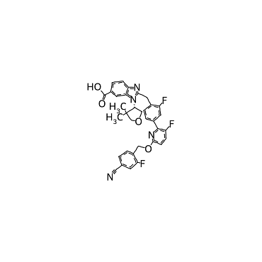 CC1(C)COC[C@H]1n1c(Cc2ccc(-c3nc(OCc4ccc(C#N)cc4F)ccc3F)cc2F)nc2ccc(C(=O)O)cc21